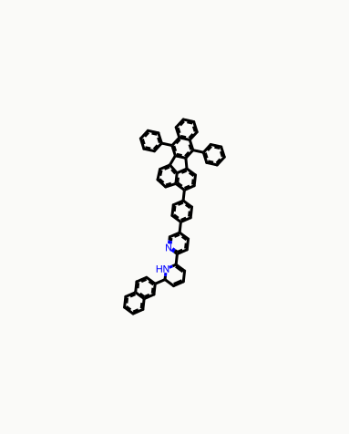 C1=CC(c2ccc3ccccc3c2)NC(c2ccc(-c3ccc(-c4ccc5c6c(cccc46)-c4c-5c(-c5ccccc5)c5ccccc5c4-c4ccccc4)cc3)cn2)=C1